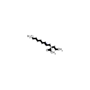 CCCCCC/C=C/CN(CCC)C(C)=O